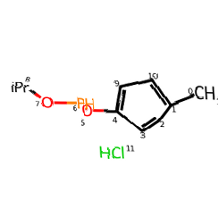 Cc1ccc(OPOC(C)C)cc1.Cl